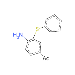 CC(=O)c1ccc(N)c(Sc2ccccc2)c1